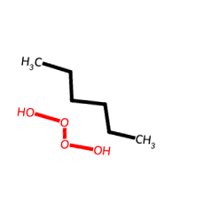 CCCCCC.OOOO